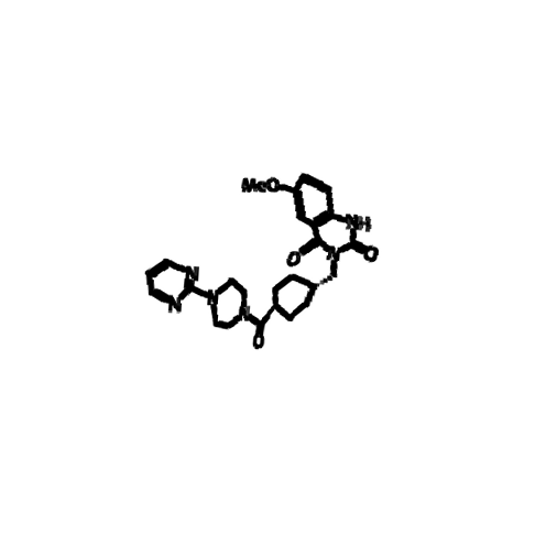 COc1ccc2[nH]c(=O)n(C[C@H]3CC[C@H](C(=O)N4CCN(c5ncccn5)CC4)CC3)c(=O)c2c1